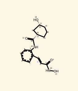 O=C(/C=C/c1ccccc1NC(=O)[C@H]1CCC[C@@H](O)C1)NO